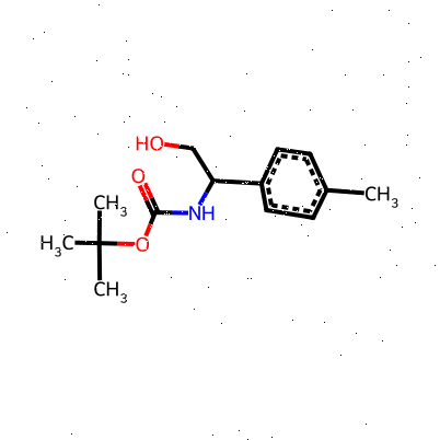 Cc1ccc(C(CO)NC(=O)OC(C)(C)C)cc1